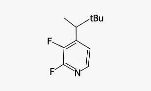 CC(c1ccnc(F)c1F)C(C)(C)C